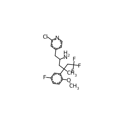 COc1ccc(F)cc1C(C)(CC(N)Cc1ccnc(Cl)c1)CC(F)(F)F